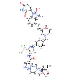 Cn1c(=O)n(C2CCC(=O)NC2=O)c2cccc(CC[C@@H]3CN(Cc4ccc(-n5cc(NC(=O)c6cnn7ccc(N8C[C@H]9C[C@@H]8CO9)nc67)c(C(F)F)n5)cc4)CCO3)c21